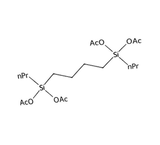 CCC[Si](CCCC[Si](CCC)(OC(C)=O)OC(C)=O)(OC(C)=O)OC(C)=O